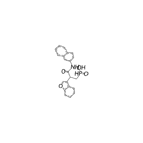 O=C(Nc1ccc2ccccc2c1)C(C[PH](=O)O)c1coc2ccccc12